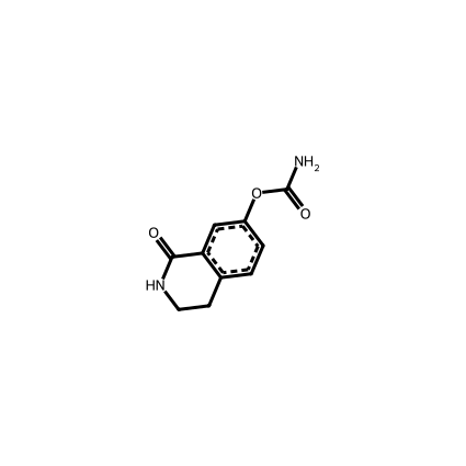 NC(=O)Oc1ccc2c(c1)C(=O)NCC2